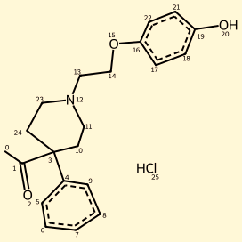 CC(=O)C1(c2ccccc2)CCN(CCOc2ccc(O)cc2)CC1.Cl